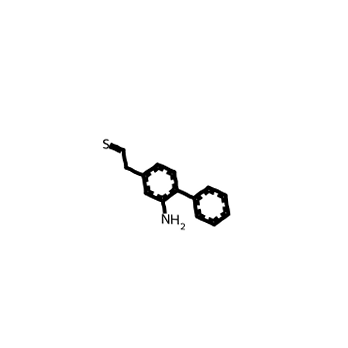 Nc1cc(CC=S)ccc1-c1ccccc1